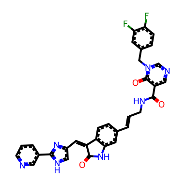 O=C1Nc2cc(/C=C/CNC(=O)c3cncn(Cc4ccc(F)c(F)c4)c3=O)ccc2/C1=C/c1c[nH]c(-c2cccnc2)n1